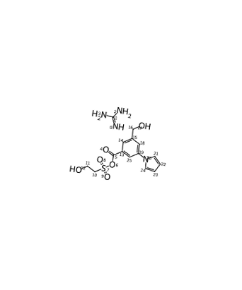 N=C(N)N.O=C(OS(=O)(=O)CCO)c1cc(CO)cc(-n2cccc2)c1